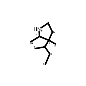 CCC(C)C1(C)CCNC1C